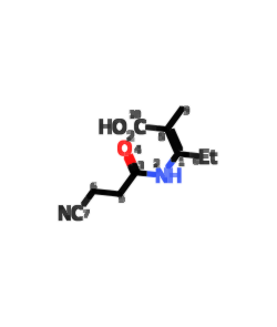 CCC(NC(=O)CCC#N)=C(C)C(=O)O